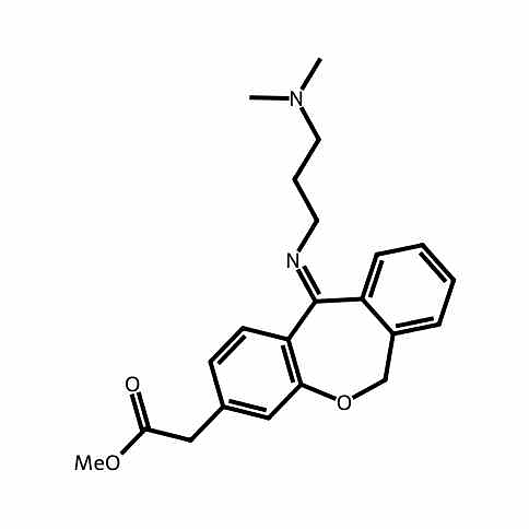 COC(=O)Cc1ccc2c(c1)OCc1ccccc1C2=NCCCN(C)C